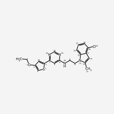 CCOc1csc(-c2cc(NCCn3c(C)cc4c(Cl)cccc43)ncn2)c1